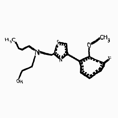 CCCN(CCO)c1nc(-c2cccc(F)c2OC)cs1